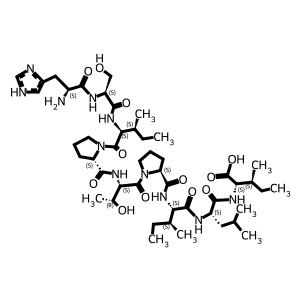 CC[C@H](C)[C@H](NC(=O)[C@H](CC(C)C)NC(=O)[C@@H](NC(=O)[C@@H]1CCCN1C(=O)[C@@H](NC(=O)[C@@H]1CCCN1C(=O)[C@@H](NC(=O)[C@H](CO)NC(=O)[C@@H](N)Cc1c[nH]cn1)[C@@H](C)CC)[C@@H](C)O)[C@@H](C)CC)C(=O)O